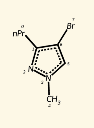 CCCc1nn(C)cc1Br